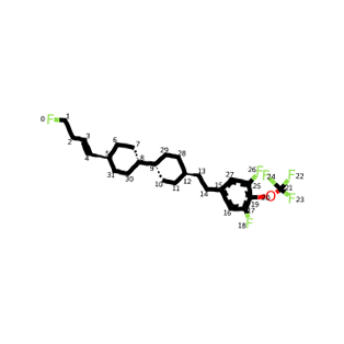 FCCC=C[C@H]1CC[C@H]([C@H]2CC[C@H](CCc3cc(F)c(OC(F)(F)F)c(F)c3)CC2)CC1